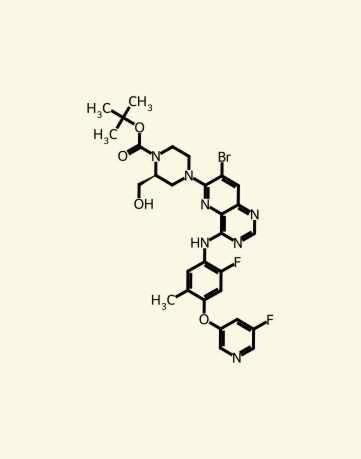 Cc1cc(Nc2ncnc3cc(Br)c(N4CCN(C(=O)OC(C)(C)C)[C@H](CO)C4)nc23)c(F)cc1Oc1cncc(F)c1